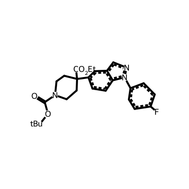 CCOC(=O)C1(c2ccc3c(cnn3-c3ccc(F)cc3)c2)CCN(C(=O)OC(C)(C)C)CC1